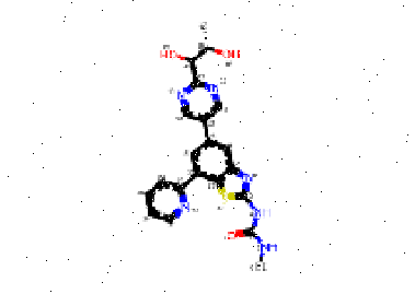 CCNC(=O)Nc1nc2cc(-c3cnc(C(O)[C@H](C)O)nc3)cc(-c3ccccn3)c2s1